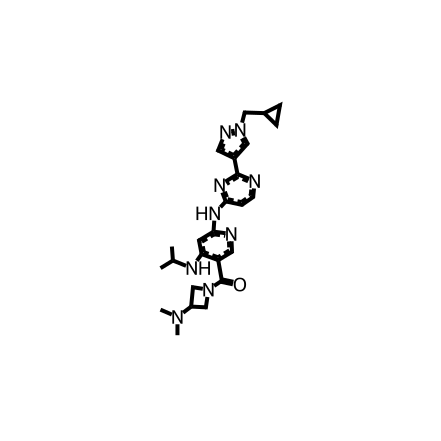 CC(C)Nc1cc(Nc2ccnc(-c3cnn(CC4CC4)c3)n2)ncc1C(=O)N1CC(N(C)C)C1